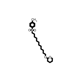 Cc1ccc(S(=O)(=O)CCCCCCCCCCCCOC2CCCCO2)cc1